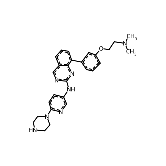 CN(C)CCOc1cccc(-c2cccc3cnc(Nc4ccc(N5CCNCC5)nc4)nc23)c1